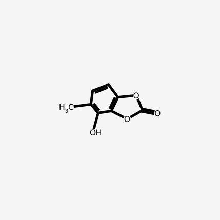 Cc1ccc2oc(=O)oc2c1O